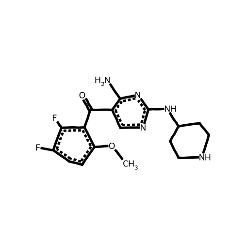 COc1ccc(F)c(F)c1C(=O)c1cnc(NC2CCNCC2)nc1N